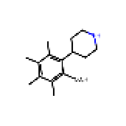 Cc1c(C)c(C)c(C2CCNCC2)c(C(=O)O)c1C